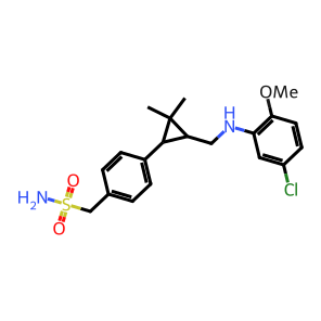 COc1ccc(Cl)cc1NCC1C(c2ccc(CS(N)(=O)=O)cc2)C1(C)C